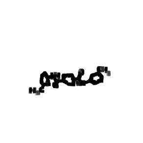 Cc1cccc(NC(=O)c2ccc(C(=O)Nc3cccc(C)n3)cc2)c1